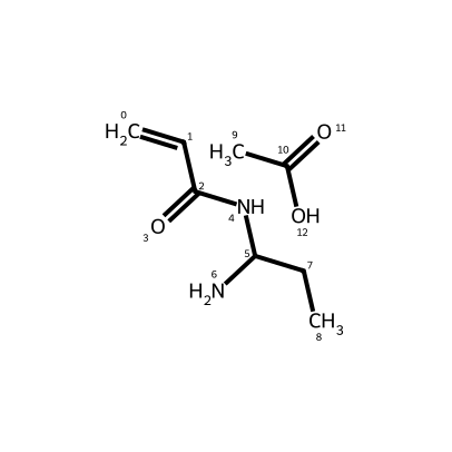 C=CC(=O)NC(N)CC.CC(=O)O